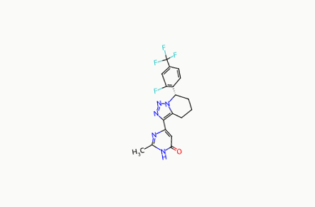 Cc1nc(-c2nnn3c2CCC[C@H]3c2ccc(C(F)(F)F)cc2F)cc(=O)[nH]1